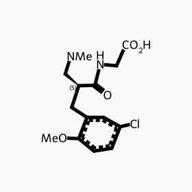 CNC[C@H](Cc1cc(Cl)ccc1OC)C(=O)NCC(=O)O